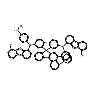 C[SiH2]c1ccc(N(c2ccc3c(c2)C2(c4cc(N(c5ccccc5)c5cccc6c5oc5c(C(C)(C)C)cccc56)ccc4-3)c3ccccc3-c3c2cc2c4c(cccc34)C3=C2C=C=C=C3)c2cccc3c2oc2c(C(C)(C)C)cccc23)cc1